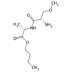 CCCCOC(=O)[C@H](C)NC(=O)[C@@H](N)COC